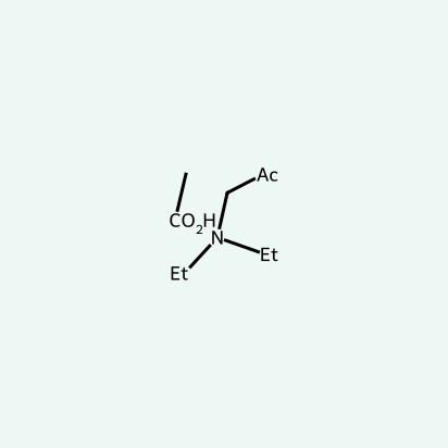 CC(=O)O.CCN(CC)CC(C)=O